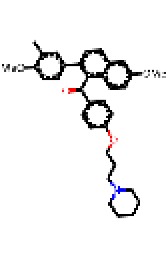 COc1ccc2c(C(=O)c3ccc(OCCCN4CCCCC4)cc3)c(-c3ccc(OC)c(C)c3)ccc2c1